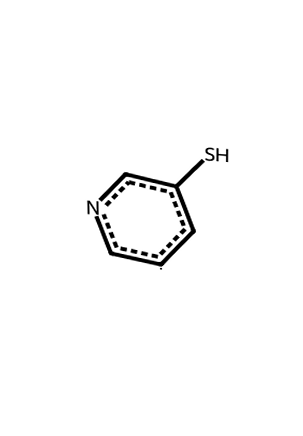 Sc1c[c]cnc1